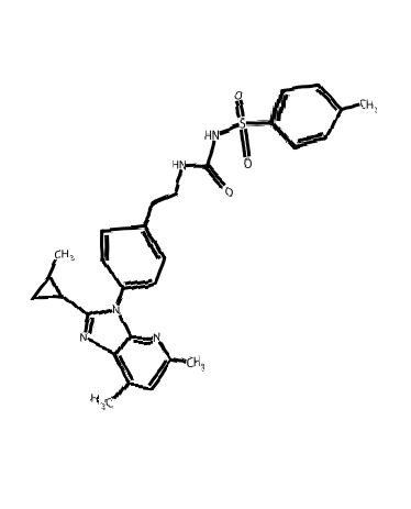 Cc1ccc(S(=O)(=O)NC(=O)NCCc2ccc(-n3c(C4CC4C)nc4c(C)cc(C)nc43)cc2)cc1